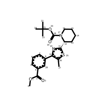 COC(=O)c1cccc(-c2nc([C@H]3CCCCN3C(=O)OC(C)(C)C)sc2C)c1